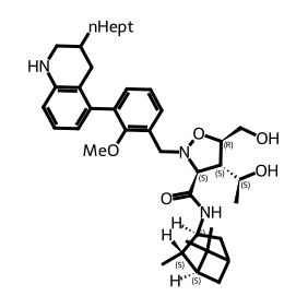 CCCCCCCC1CNc2cccc(-c3cccc(CN4O[C@@H](CO)[C@H]([C@H](C)O)[C@H]4C(=O)N[C@H]4CC5C[C@@H]([C@@H]4C)C5(C)C)c3OC)c2C1